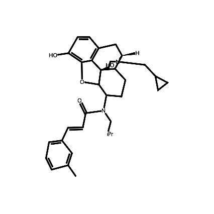 Cc1cccc(/C=C/C(=O)N(CC(C)C)C2CC[C@@]3(O)[C@H]4Cc5ccc(O)c6c5[C@@]3(CCN4CC3CC3)C2O6)c1